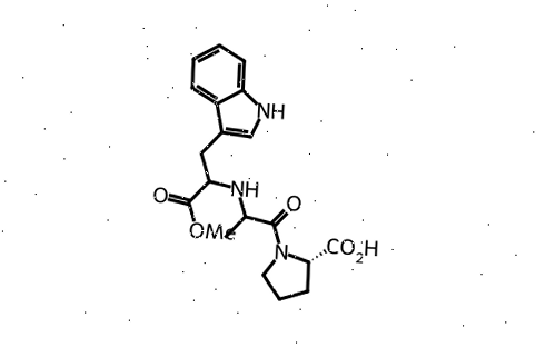 COC(=O)C(Cc1c[nH]c2ccccc12)NC(C)C(=O)N1CCC[C@H]1C(=O)O